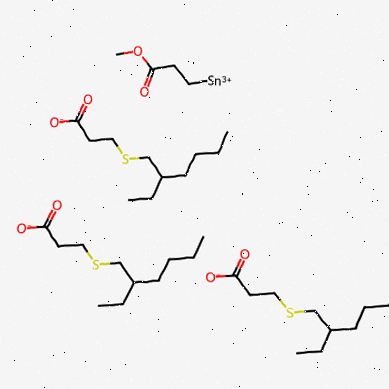 CCCCC(CC)CSCCC(=O)[O-].CCCCC(CC)CSCCC(=O)[O-].CCCCC(CC)CSCCC(=O)[O-].COC(=O)C[CH2][Sn+3]